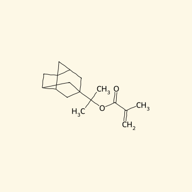 C=C(C)C(=O)OC(C)(C)C12CC3CC4(CC4C1)C3C2